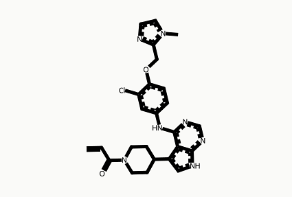 C=CC(=O)N1CCC(c2c[nH]c3ncnc(Nc4ccc(OCc5nccn5C)c(Cl)c4)c23)CC1